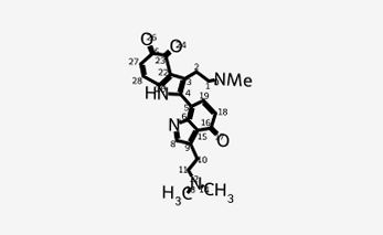 CNCCc1c(C2=C3N=CC(CCN(C)C)=C3C(=O)C=C2)[nH]c2c1C(=O)C(=O)C=C2